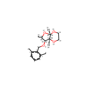 Cc1cccc(C)c1CO[C@@H]1[C@H]2OCCO[C@H]2O[C@@H]1C